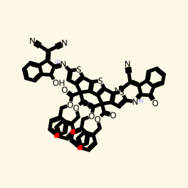 N#CC(C#N)=C1/C(=N\c2cc3c(s2)-c2sc4c(c2C3(C(=O)OCc2ccccc2)C(=O)OCc2ccccc2)C(C(=O)OCc2ccccc2)(C(=O)OCc2ccccc2)c2cc(/N=C3/C(=C(C#N)C#N)c5ccccc5C3O)sc2-4)C(=O)c2ccccc21